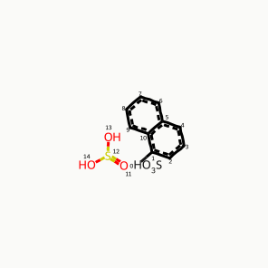 O=S(=O)(O)c1cccc2ccccc12.O=S(O)O